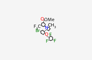 COC(=O)c1cc(-n2c(C)ccc2-c2cc(Br)ccc2OCc2c(F)cc(F)cc2F)cc(C(F)(F)F)c1